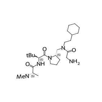 CN[C@@H](C)C(=O)N[C@H](C(=O)N1CCC[C@H]1CN(CCC1CCCCC1)C(=O)CN)C(C)(C)C